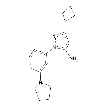 Nc1cc(C2CCC2)nn1-c1cccc(N2CCCC2)c1